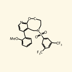 COc1ccccc1-c1ccnc2c1CN(S(=O)(=O)c1cc(C(F)(F)F)cc(C(F)(F)F)c1)CCCO2